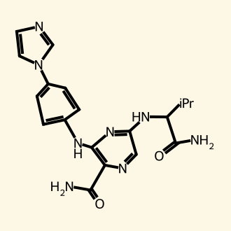 CC(C)C(Nc1cnc(C(N)=O)c(Nc2ccc(-n3ccnc3)cc2)n1)C(N)=O